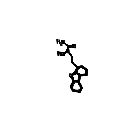 NC(=O)N(O)CCc1cccc2c1oc1ccccc12